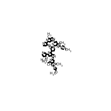 COc1ccncc1-c1cc2c(cnn2-c2cc3c(nc(N4CCN(C)CC4)n3C)c(N3CCC(c4nc(-c5cnccc5OC)cc5c4cnn5-c4cc5c(nc(N6CC(OC)C6)n5C)c(C(C)C)n4)CC3)n2)c(C)n1